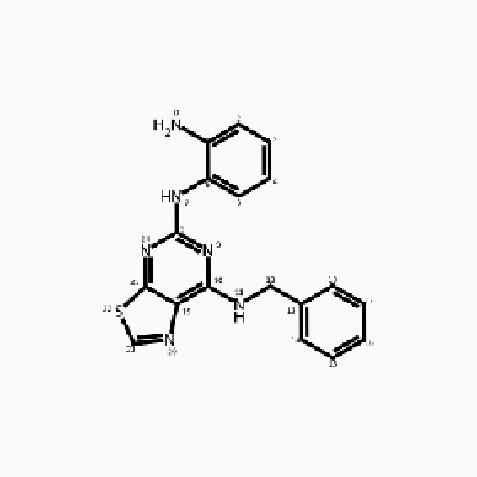 Nc1ccccc1Nc1nc(NCc2ccccc2)c2ncsc2n1